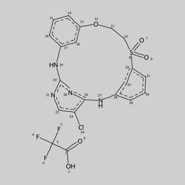 O=C(O)C(F)(F)F.O=S1(=O)CCOc2cccc(c2)Nc2ncc(Cl)c(n2)Nc2cccc1c2